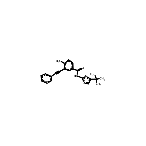 Cc1ccc(C(=O)Nc2nc(C(C)(C)C)co2)cc1C#Cc1cccnc1